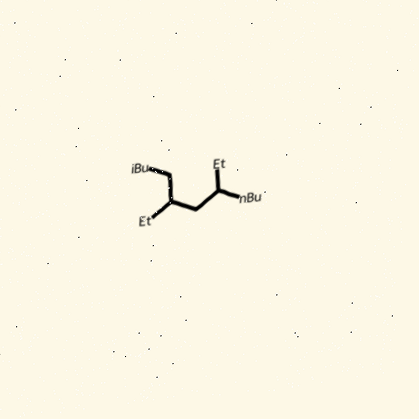 CCCCC(CC)CC(CC)CC(C)CC